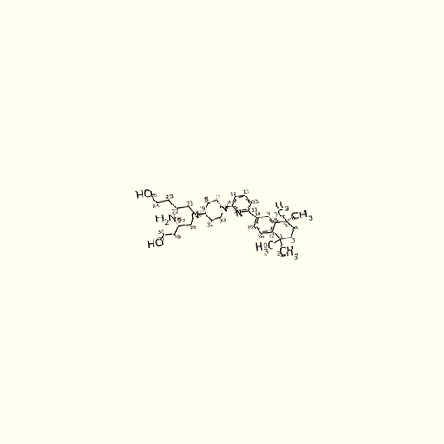 CC1(C)CCC(C)(C)c2cc(-c3cccc(N4CCC(N(CCCCO)C[C@@H](N)CCO)CC4)n3)ccc21